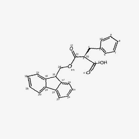 O=C(O)[C@H](Cc1ccccc1)C(=O)OCC1c2ccccc2-c2ccccc21